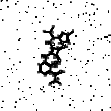 Cc1cc([C@H](Nc2c(Nc3cccc(C(=O)N(C)C)c3O)c(=O)c2=O)C(C)C)on1